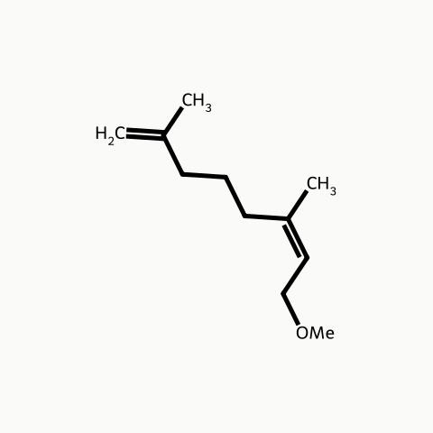 C=C(C)CCCC(C)=CCOC